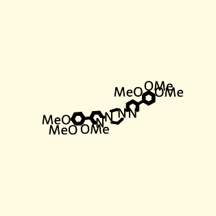 COc1ccc(-c2ccc(N3CCCN(c4ccc(-c5ccc(OC)c(OC)c5OC)cn4)CC3)nc2)c(OC)c1OC